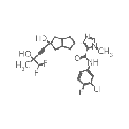 Cn1cnc(C2CC3CC(O)(C#CC(C)(O)C(F)F)CC3C2)c1C(=O)Nc1ccc(F)c(Cl)c1